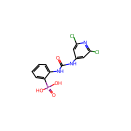 O=C(Nc1cc(Cl)nc(Cl)c1)Nc1ccccc1P(=O)(O)O